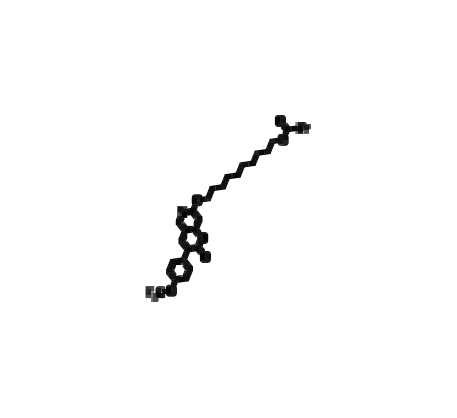 CC(C)C(=O)OCCCCCCCCCCOc1cc2oc(=O)c(-c3ccc(OC(F)(F)F)cc3)cc2cn1